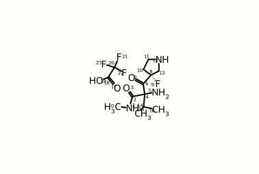 CNC(=O)C(N)(C(=O)[C@@]1(F)CCNC1)C(C)C.O=C(O)C(F)(F)F